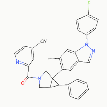 Cc1cc2c(cnn2-c2ccc(F)cc2)cc1C12CN(C(=O)c3cc(C#N)ccn3)CC1C2c1ccccc1